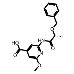 COc1cc(C(=O)O)cc(NC(=O)[C@@H](C)OCc2ccccc2)n1